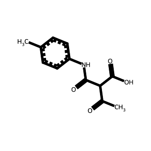 CC(=O)C(C(=O)O)C(=O)Nc1ccc(C)cc1